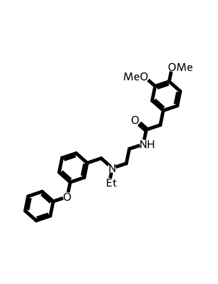 CCN(CCNC(=O)Cc1ccc(OC)c(OC)c1)Cc1cccc(Oc2ccccc2)c1